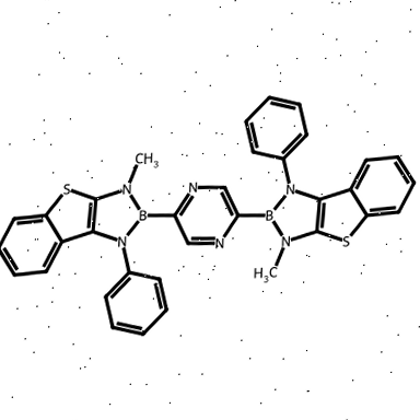 CN1B(c2cnc(B3N(C)c4sc5ccccc5c4N3c3ccccc3)cn2)N(c2ccccc2)c2c1sc1ccccc21